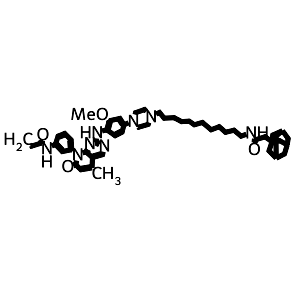 C=CC(=O)Nc1cccc(-n2c(=O)cc(C)c3cnc(Nc4ccc(N5CCN(CCCCCCCCCCCCNC(=O)CC67CC8CC(CC(C8)C6)C7)CC5)cc4OC)nc32)c1